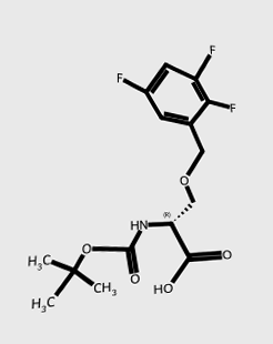 CC(C)(C)OC(=O)N[C@H](COCc1cc(F)cc(F)c1F)C(=O)O